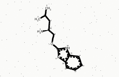 CC(C)C[C@H](N)COc1nc2ccccc2[nH]1